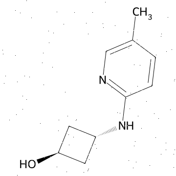 Cc1ccc(N[C@H]2C[C@H](O)C2)nc1